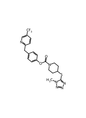 Cn1nnnc1SC1CCN(C(=O)Oc2ccc(Cc3ccc(C(F)(F)F)cn3)cc2)CC1